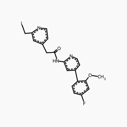 COc1cc(F)ccc1-c1ccnc(NC(=O)Cc2ccnc(CI)c2)c1